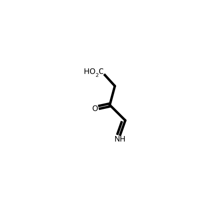 N=CC(=O)CC(=O)O